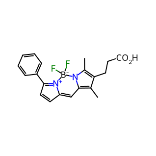 Cc1c(CCC(=O)O)c(C)n2c1C=C1C=CC(c3ccccc3)=[N+]1[B-]2(F)F